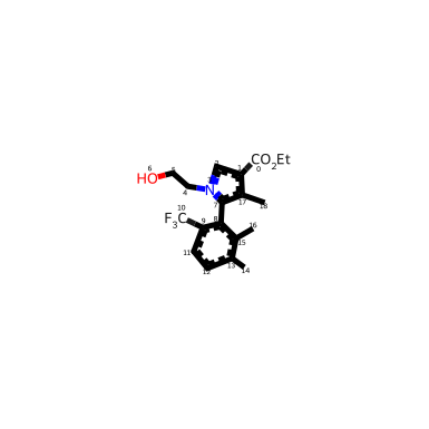 CCOC(=O)c1cn(CCO)c(-c2c(C(F)(F)F)ccc(C)c2C)c1C